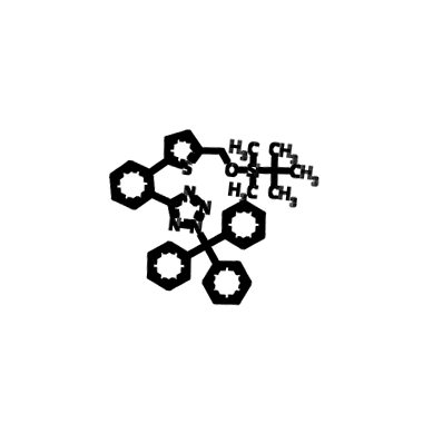 CC(C)(C)[Si](C)(C)OCc1ccc(-c2ccccc2-c2nnn(C(c3ccccc3)(c3ccccc3)c3ccccc3)n2)s1